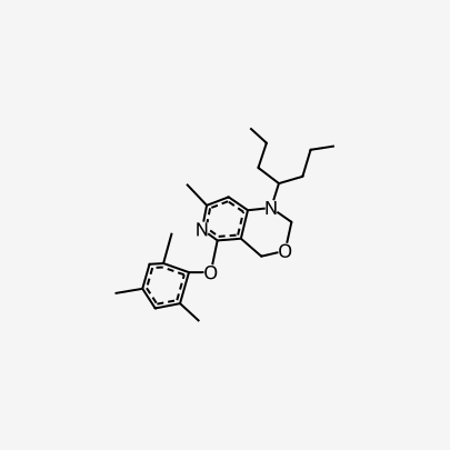 CCCC(CCC)N1COCc2c1cc(C)nc2Oc1c(C)cc(C)cc1C